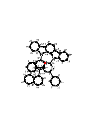 c1ccc(-c2cc(-c3ccccc3)nc(-n3c4ccccc4c4ccc5c6ccccc6n(-c6ccc(-c7cccc8ccccc78)cc6)c5c43)n2)cc1